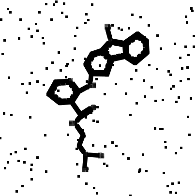 CCN(CC)CCNC(=O)c1cccnc1Nc1ccc2c(c1)c1ccccc1n2CC